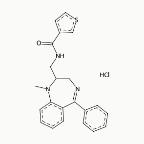 CN1c2ccccc2C(c2ccccc2)=NCC1CNC(=O)c1ccsc1.Cl